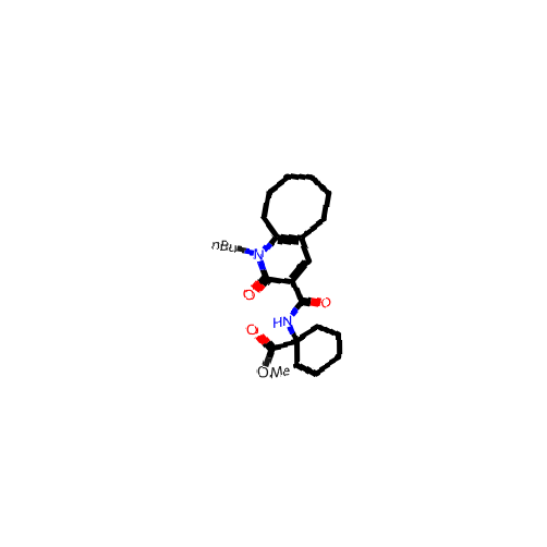 CCCCn1c2c(cc(C(=O)NC3(C(=O)OC)CCCCC3)c1=O)CCCCCC2